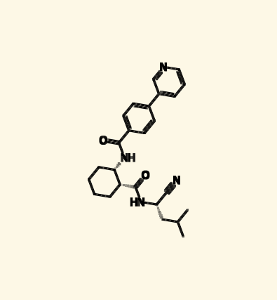 CC(C)C[C@@H](C#N)NC(=O)[C@@H]1CCCC[C@@H]1NC(=O)c1ccc(-c2cccnc2)cc1